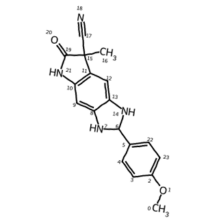 COc1ccc(C2Nc3cc4c(cc3N2)C(C)(C#N)C(=O)N4)cc1